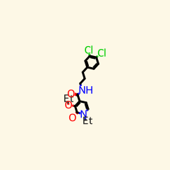 CCOc1c(C(=O)NCCCc2ccc(Cl)c(Cl)c2)ccn(CC)c1=O